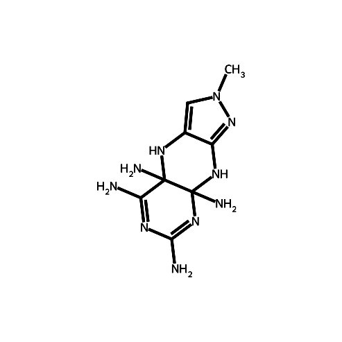 Cn1cc2c(n1)NC1(N)N=C(N)N=C(N)C1(N)N2